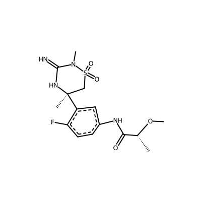 CO[C@H](C)C(=O)Nc1ccc(F)c([C@]2(C)CS(=O)(=O)N(C)C(=N)N2)c1